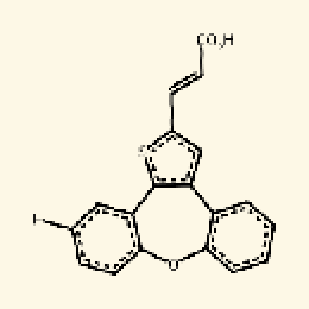 O=C(O)C=Cc1cc2c(s1)-c1cc(F)ccc1Oc1ccccc1-2